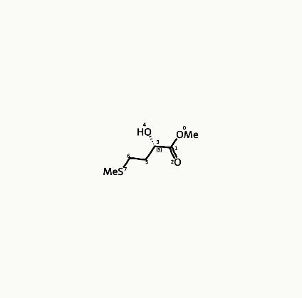 COC(=O)[C@@H](O)CCSC